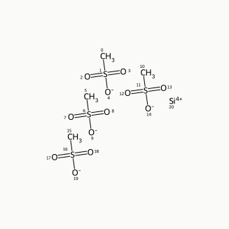 CS(=O)(=O)[O-].CS(=O)(=O)[O-].CS(=O)(=O)[O-].CS(=O)(=O)[O-].[Si+4]